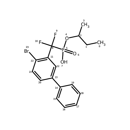 CCC(C)OP(=O)(O)C(F)(F)c1cc(-c2ccccc2)ccc1Br